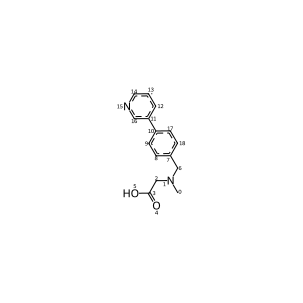 CN(CC(=O)O)Cc1ccc(-c2c[c]cnc2)cc1